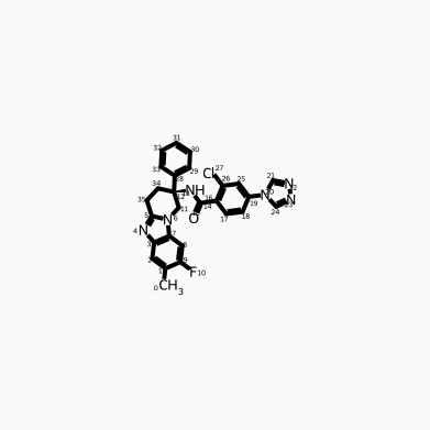 Cc1cc2nc3n(c2cc1F)C[C@@](NC(=O)c1ccc(-n2cnnc2)cc1Cl)(c1ccccc1)CC3